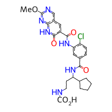 COc1ncc2cc(C(=O)Nc3cc(C(=O)NC(CCNC(=O)O)C4CCCC4)ccc3Cl)c(=O)[nH]c2n1